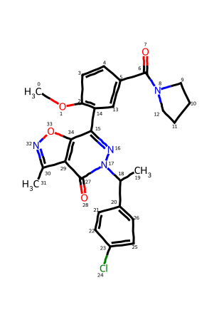 COc1ccc(C(=O)N2CCCC2)cc1-c1nn(C(C)c2ccc(Cl)cc2)c(=O)c2c(C)noc12